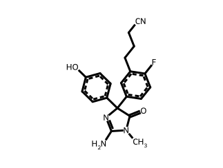 CN1C(=O)C(c2ccc(O)cc2)(c2ccc(F)c(CCCC#N)c2)N=C1N